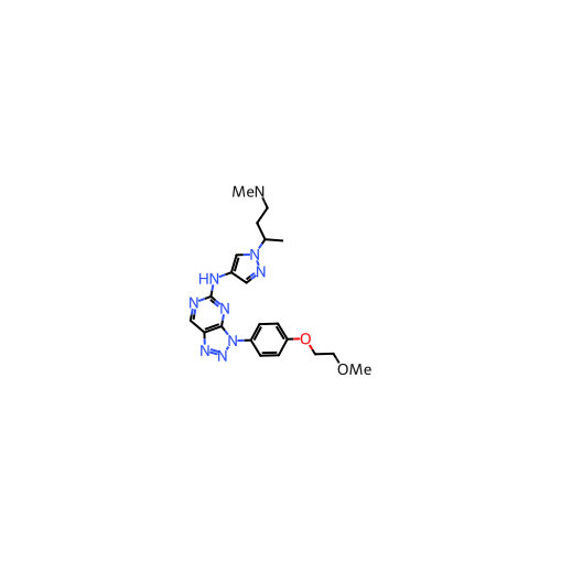 CNCCC(C)n1cc(Nc2ncc3nnn(-c4ccc(OCCOC)cc4)c3n2)cn1